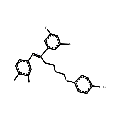 Cc1ccc(/C=C(\CCCCSc2ccc(C=O)cc2)c2cc(F)cc(F)c2)cc1C